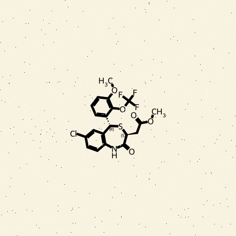 COC(=O)C[C@@H]1S[C@@H](c2cccc(OC)c2OC(F)(F)F)c2cc(Cl)ccc2NC1=O